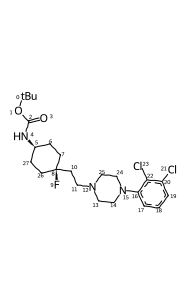 CC(C)(C)OC(=O)N[C@H]1CC[C@](F)(CCN2CCN(c3cccc(Cl)c3Cl)CC2)CC1